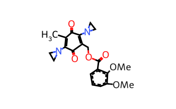 COc1cccc(C(=O)OCC2=C(N3CC3)C(=O)C(C)=C(N3CC3)C2=O)c1OC